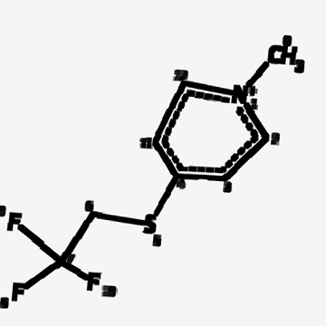 C[n+]1ccc(SCC(F)(F)F)cc1